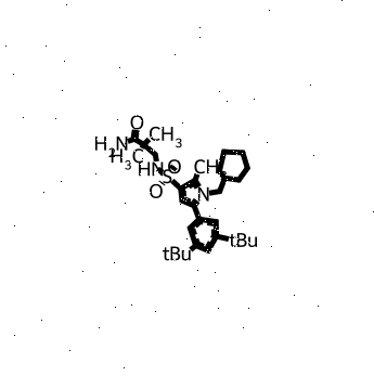 Cc1c(S(=O)(=O)NCC(C)(C)C(N)=O)cc(-c2cc(C(C)(C)C)cc(C(C)(C)C)c2)n1CC1CCCCC1